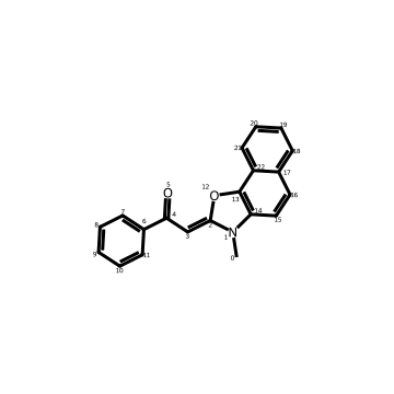 CN1C(=CC(=O)c2ccccc2)Oc2c1ccc1ccccc21